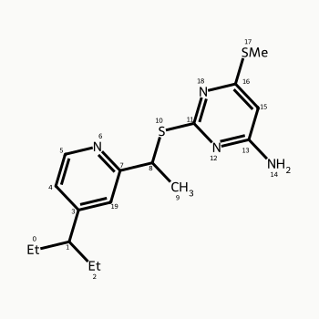 CCC(CC)c1ccnc(C(C)Sc2nc(N)cc(SC)n2)c1